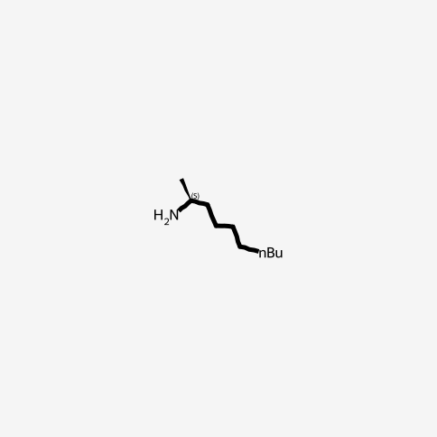 CCCCCCCC[C@H](C)N